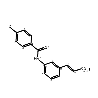 Cc1ccc(C(=O)Nc2cccc(/C=C/C(=O)O)c2)cc1